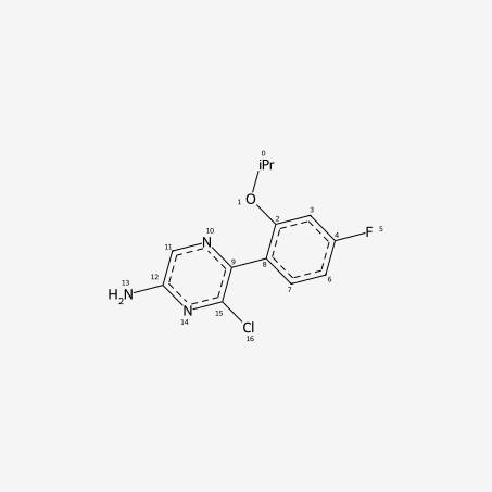 CC(C)Oc1cc(F)ccc1-c1ncc(N)nc1Cl